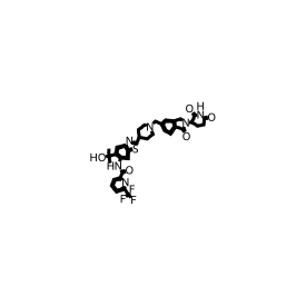 CC(C)(O)c1cc2nc(C3CCN(Cc4ccc5c(c4)CN(C4CCC(=O)NC4=O)C5=O)CC3)sc2cc1NC(=O)c1cccc(C(F)(F)F)n1